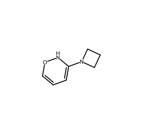 C1=CONC(N2CCC2)=C1